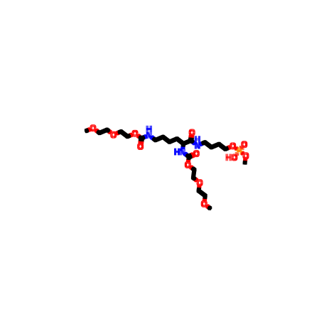 COCCOCCOC(=O)NCCCCC(NC(=O)OCCOCCOC)C(=O)NCCCCOP(=O)(O)OC